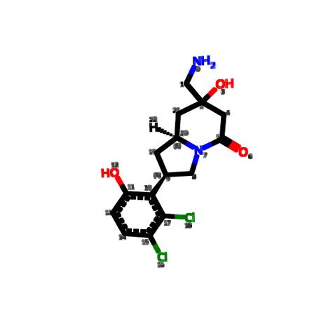 NCC1(O)CC(=O)N2C[C@@H](c3c(O)ccc(Cl)c3Cl)C[C@H]2C1